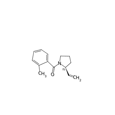 C=C[C@@H]1CCCN1C(=O)c1ccccc1C